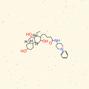 C[C@H](CCC(=O)NC1CCN(c2ccccc2)CC1)[C@H]1CC[C@H]2[C@@H]3[C@H](O)C[C@@H]4C[C@H](O)CC[C@]4(C)[C@H]3C[C@H](O)[C@]12C